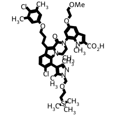 COCCOc1cc(N2CC(C)n3c(c(CCCOc4cc(C)c(Cl)c(C)c4)c4ccc(Cl)c(-c5c(C)nn(COCC[Si](C)(C)C)c5C)c43)C2=O)c2c(c1)cc(C(=O)O)n2C